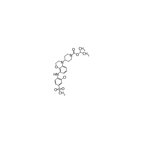 CC(C)OC(=O)N1CCC(N2CCOc3c(Nc4ccc(S(C)(=O)=O)cc4Cl)cccc32)CC1